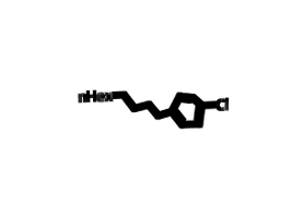 CCCCCCCCCCc1ccc(Cl)cc1